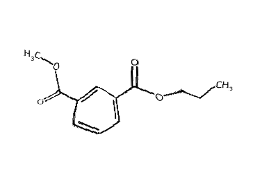 CCCOC(=O)c1cccc(C(=O)OC)c1